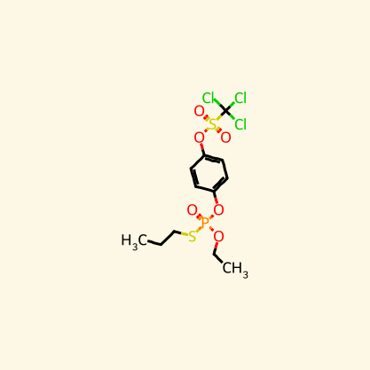 CCCSP(=O)(OCC)Oc1ccc(OS(=O)(=O)C(Cl)(Cl)Cl)cc1